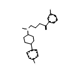 CN(CCCC(=O)c1cccc(Br)c1)C1CCC(c2ccc([N+](=O)[O-])cc2)CC1.Cl